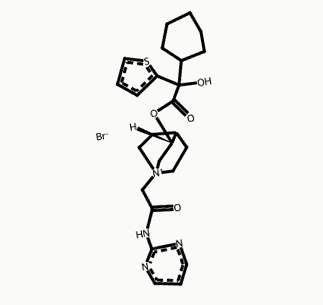 O=C(C[N+]12CCC(CC1)[C@@H](OC(=O)C(O)(c1cccs1)C1CCCCC1)C2)Nc1ncccn1.[Br-]